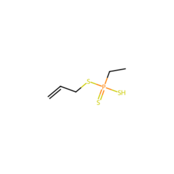 C=CCSP(=S)(S)CC